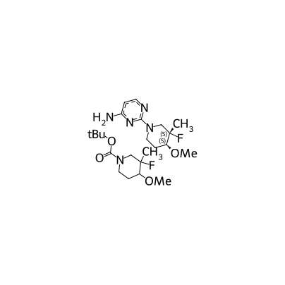 COC1CCN(C(=O)OC(C)(C)C)CC1(C)F.CO[C@H]1CCN(c2nccc(N)n2)C[C@]1(C)F